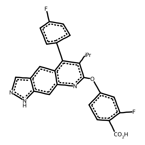 CC(C)c1c(Oc2ccc(C(=O)O)c(F)c2)nc2cc3[nH]ncc3cc2c1-c1ccc(F)cc1